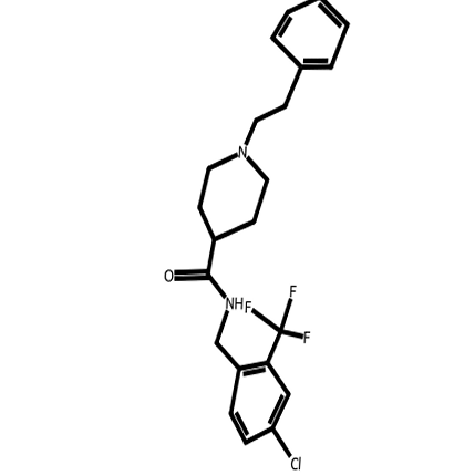 O=C(NCc1ccc(Cl)cc1C(F)(F)F)C1CCN(CCc2ccccc2)CC1